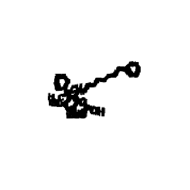 CC(C)(C)c1cc(C(C)(C)C)c(C(C)(C)c2ccccc2)c(CCCCCCCCCc2ccccc2)c1OP(O)O